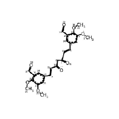 COc1cc(/C=C/C(=O)CC(=O)/C=C/c2cc(C=O)c(OC)c(OC)c2)cc(C=O)c1OC